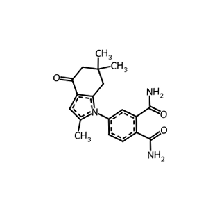 Cc1cc2c(n1-c1ccc(C(N)=O)c(C(N)=O)c1)CC(C)(C)CC2=O